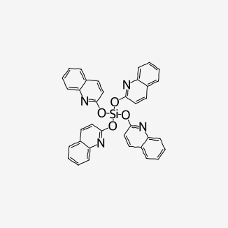 c1ccc2nc(O[Si](Oc3ccc4ccccc4n3)(Oc3ccc4ccccc4n3)Oc3ccc4ccccc4n3)ccc2c1